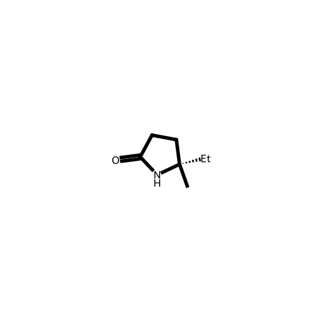 CC[C@@]1(C)CCC(=O)N1